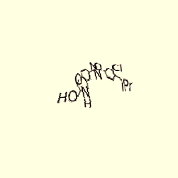 CC(C)Cc1ccc(-c2nc(-c3ccc4c(c3)CNC(CO)CO4)no2)cc1Cl